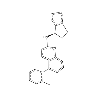 Cc1ccccc1-c1cccc2nc(N[C@@H]3CCc4ccccc43)ccc12